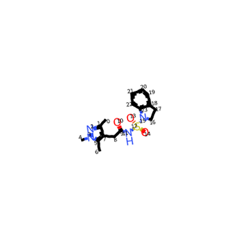 Cc1nn(C)c(C)c1CC(=O)NS(=O)(=O)N1CCc2ccccc21